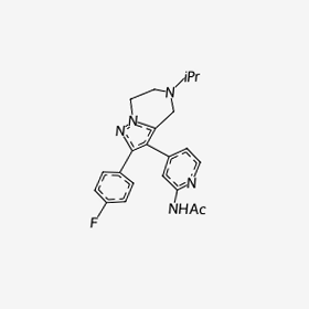 CC(=O)Nc1cc(-c2c(-c3ccc(F)cc3)nn3c2CN(C(C)C)CC3)ccn1